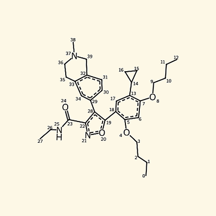 CCCCOc1cc(OCCCC)c(C2CC2)cc1-c1onc(C(=O)NCC)c1-c1ccc2c(c1)CCN(C)C2